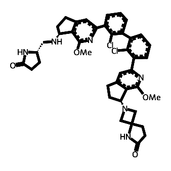 COc1nc(-c2cccc(-c3cccc(-c4cc5c(c(OC)n4)[C@H](NC[C@@H]4CCC(=O)N4)CC5)c3Cl)c2Cl)cc2c1[C@H](N1CC3(CCC(=O)N3)C1)CC2